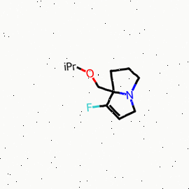 CC(C)OCC12CCCN1CC=C2F